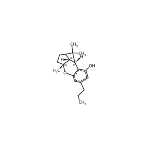 CCCc1cc(O)c2c(c1)O[C@]1(C)CCC3[C@@H]1[C@@H]2C3(C)C